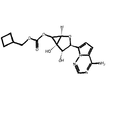 Nc1ncnn2c([C@@H]3O[C@@H]4C(OC(=O)OCC5CCC5)[C@]4(O)[C@H]3O)ccc12